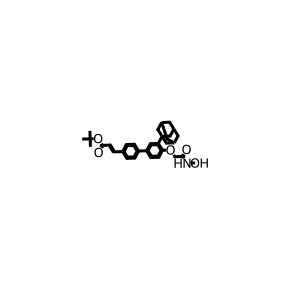 CC(C)(C)OC(=O)C=Cc1ccc(-c2ccc(OCC(=O)NO)c(C34CC5CC(CC(C5)C3)C4)c2)cc1